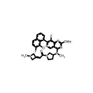 COc1nc(N(C)C2CCN(C(=O)C=C3CN(C)C3)C2)c2cnc(-c3cccc4ccc(F)c(Cl)c34)c(F)c2n1